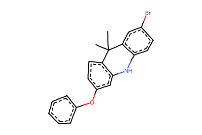 CC1(C)c2ccc(Oc3ccccc3)cc2Nc2ccc(Br)cc21